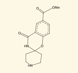 COC(=O)c1ccc2c(c1)C(=O)NC1(CCNCC1)O2